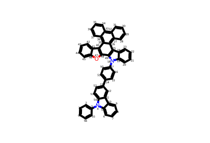 c1ccc(-n2c3ccccc3c3cc(-c4ccc(-n5c6ccccc6c6c7c8ccccc8c8ccccc8c7c7c8ccccc8oc7c65)cc4)ccc32)cc1